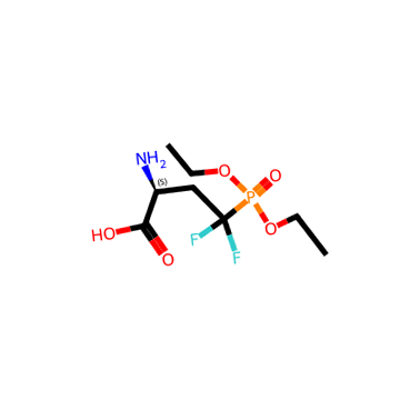 CCOP(=O)(OCC)C(F)(F)C[C@H](N)C(=O)O